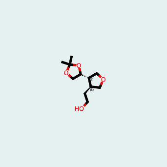 CC1(C)OCC([C@@H]2COC[C@H]2CCO)O1